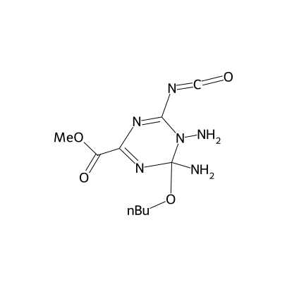 CCCCOC1(N)N=C(C(=O)OC)N=C(N=C=O)N1N